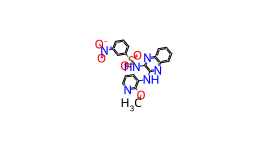 COc1ncccc1Nc1nc2ccccc2nc1NS(=O)(=O)c1cccc([N+](=O)[O-])c1